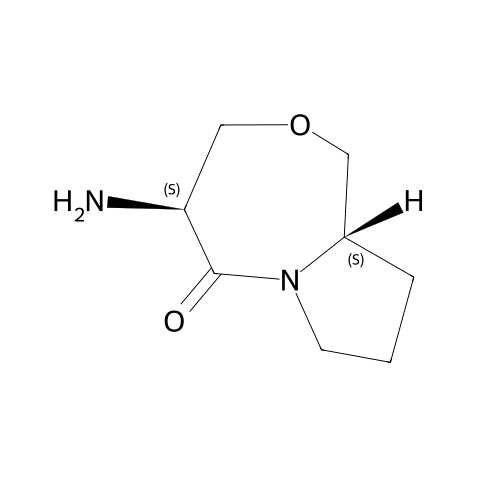 N[C@H]1COC[C@@H]2CCCN2C1=O